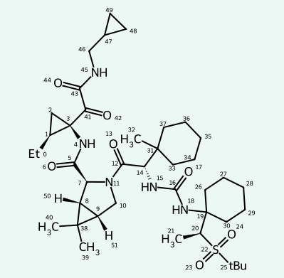 CC[C@H]1C[C@]1(NC(=O)[C@@H]1[C@@H]2[C@H](CN1C(=O)[C@@H](NC(=O)NC1([C@H](C)S(=O)(=O)C(C)(C)C)CCCCC1)C1(C)CCCCC1)C2(C)C)C(=O)C(=O)NCC1CC1